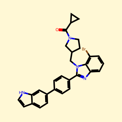 O=C(C1CC1)N1CCC(Cn2c(-c3ccc(-c4ccc5cc[nH]c5c4)cc3)nc3cccc(Br)c32)C1